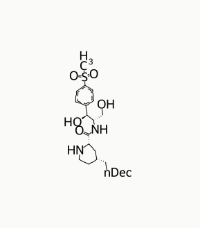 CCCCCCCCCCC[C@@H]1CCN[C@H](C(=O)N[C@@H](CO)[C@@H](O)c2ccc(S(C)(=O)=O)cc2)C1